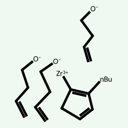 C=CCC[O-].C=CCC[O-].C=CCC[O-].CCCCC1=[C]([Zr+3])CC=C1